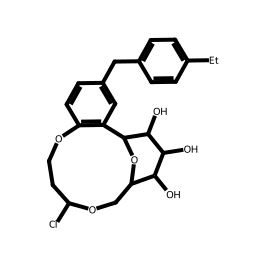 CCc1ccc(Cc2ccc3c(c2)C2OC(COC(Cl)CCO3)C(O)C(O)C2O)cc1